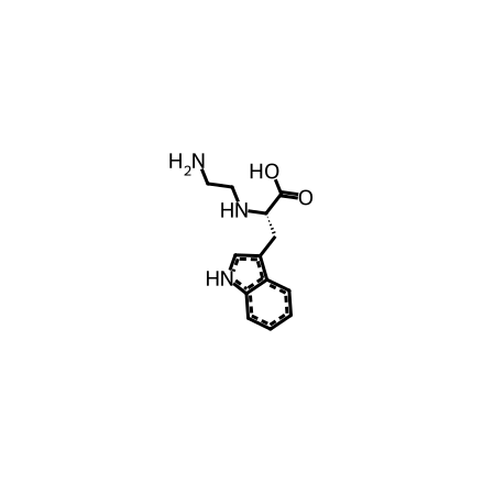 NCCN[C@@H](Cc1c[nH]c2ccccc12)C(=O)O